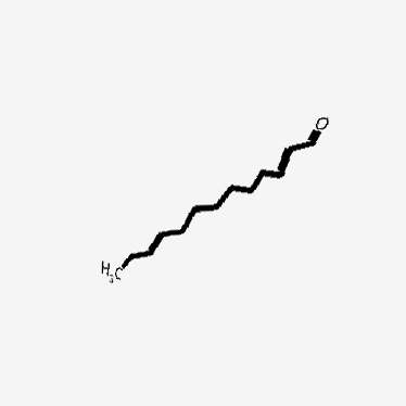 CCC=CCCCCCCC=CC=O